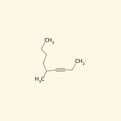 [CH2]CC#CC(C)CCCC